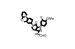 COc1ccc(-n2nc(NC=O)c3c2C(=O)N(c2ccc(-n4ccccc4=O)c(C)c2)CC3)cc1F